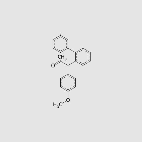 COc1ccc(C(C(C)=O)c2ccccc2-c2c[c]ccc2)cc1